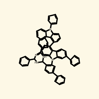 c1ccc(C2=NC(c3ccccc3)NC(c3ccc(-c4ccccc4)cc3-n3c4cc(-c5ccccc5)ccc4c4c(-c5cccc6c5c5ccccc5n6-c5ccccc5)cccc43)N2)cc1